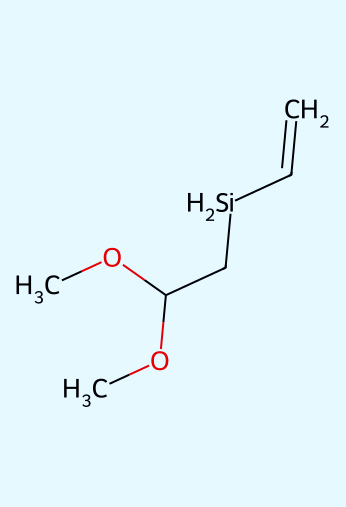 C=C[SiH2]CC(OC)OC